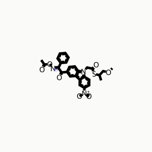 COCC(C)SC(=O)Cn1c2ccc(C(=O)/C(=N/OC(C)=O)c3ccccc3)cc2c2cc([N+](=O)[O-])ccc21